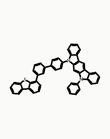 c1ccc(-n2c3ccccc3c3cc4c5ccccc5n(-c5ccc(-c6cccc(-c7cccc8c7sc7ccccc78)c6)cc5)c4cc32)cc1